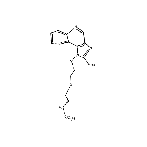 CCCCc1nc2cnc3ccccc3c2n1OCCOCCNC(=O)O